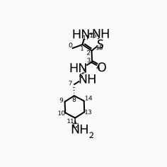 CC1=C(C(=O)NNC[C@H]2CC[C@H](N)CC2)SNN1